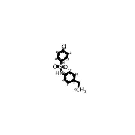 CCc1ccc(NS(=O)(=O)c2ccc(Cl)cc2)cc1